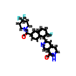 O=C(c1ccc2c(-c3cc4cc[nH]c(=O)c4cn3)c(F)ccc2c1)N1CCC(F)(F)CC1